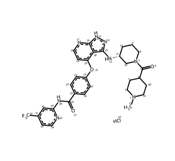 CN1CCC(C(=O)N2CCC[C@@H](Nc3n[nH]c4nccc(Oc5ccc(C(=O)Nc6cc(C(F)(F)F)ccn6)cc5)c34)C2)CC1.Cl